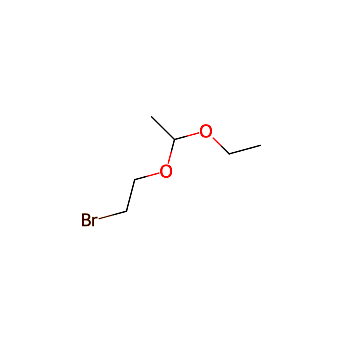 CCOC(C)OCCBr